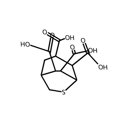 O=C(O)C1CC2CSC(C1C(=O)O)C(C(=O)O)C2C(=O)O